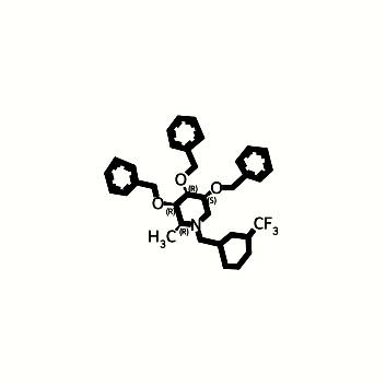 C[C@@H]1[C@@H](OCc2ccccc2)[C@H](OCc2ccccc2)[C@@H](OCc2ccccc2)CN1CC1CCCC(C(F)(F)F)C1